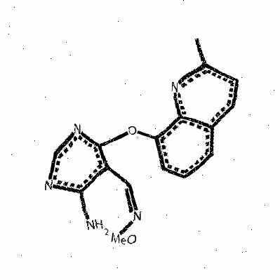 CO/N=C\c1c(N)ncnc1Oc1cccc2ccc(C)nc12